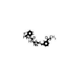 COC(=O)c1cccc(CSc2nnc(NC(=O)Nc3ccccc3C(F)(F)F)s2)c1